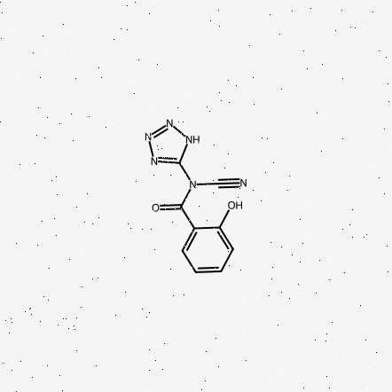 N#CN(C(=O)c1ccccc1O)c1nnn[nH]1